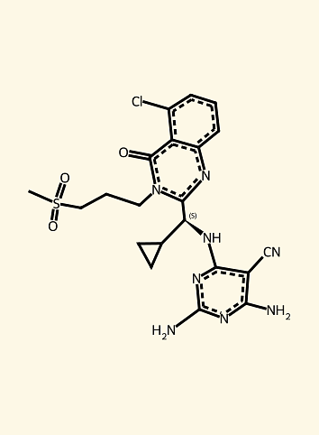 CS(=O)(=O)CCCn1c([C@@H](Nc2nc(N)nc(N)c2C#N)C2CC2)nc2cccc(Cl)c2c1=O